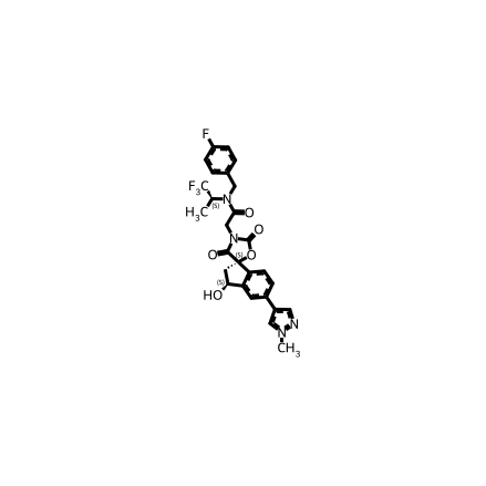 C[C@H](N(Cc1ccc(F)cc1)C(=O)CN1C(=O)O[C@]2(C[C@H](O)c3cc(-c4cnn(C)c4)ccc32)C1=O)C(F)(F)F